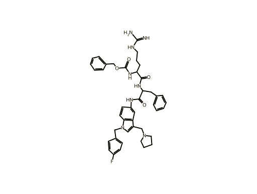 N=C(N)NCCCC(NC(=O)OCc1ccccc1)C(=O)NC(Cc1ccccc1)C(=O)Nc1ccc2c(c1)c(CN1CCCC1)cn2Cc1ccc(F)cc1